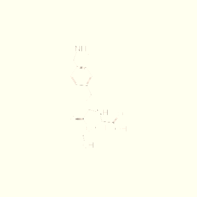 CCOC(=O)[C@H](CCc1ccc(CN)cc1)N[C@@H](C)C(=O)O